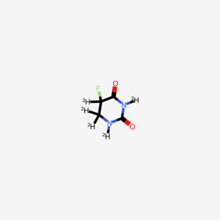 [2H]N1C(=O)N([2H])C([2H])([2H])C([2H])(F)C1=O